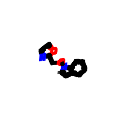 [c]1cc2ccccc2n1OCc1ncco1